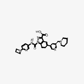 O=C(O)c1nn(C(=O)Nc2ccc(N3CCC3)nc2)c2ccc(-c3cncc(CN4CCCCC4)c3)cc12